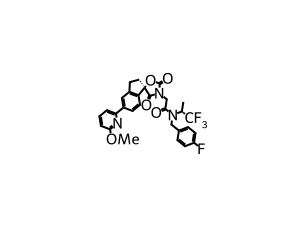 COc1cccc(-c2ccc3c(c2)CC[C@@]32OC(=O)N(CC(=O)N(Cc3ccc(F)cc3)[C@@H](C)C(F)(F)F)C2=O)n1